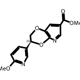 COC(=O)c1cnc2c(c1)OC[C@H](c1ccc(OC)nc1)O2